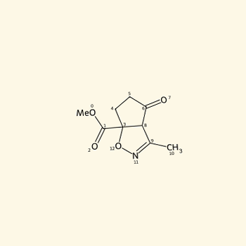 COC(=O)C12CCC(=O)C1C(C)=NO2